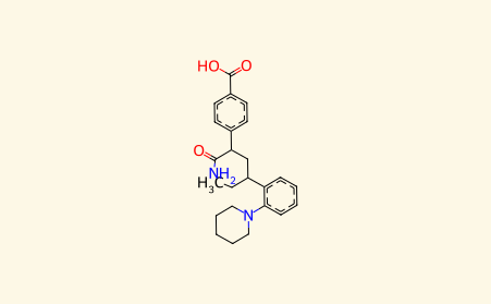 CCC(CC(C(N)=O)c1ccc(C(=O)O)cc1)c1ccccc1N1CCCCC1